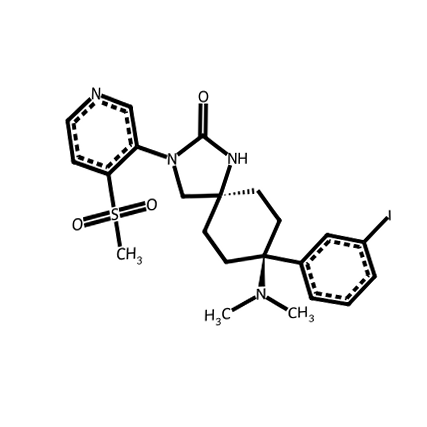 CN(C)[C@]1(c2cccc(I)c2)CC[C@]2(CC1)CN(c1cnccc1S(C)(=O)=O)C(=O)N2